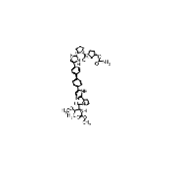 COC(=O)NC(C(=O)N1CCCC1c1ncc(-c2ccc(-c3ccc(-c4cnc([C@@H]5CCCN5C(=O)[C@H]5CC[C@@H](OC(N)=O)C5)[nH]4)cc3)cc2)[nH]1)C(C)OC